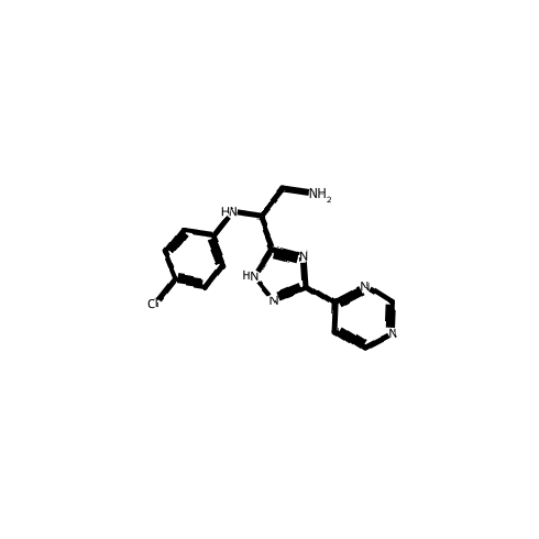 NCC(Nc1ccc(Cl)cc1)c1nc(-c2ccncn2)n[nH]1